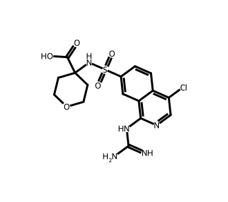 N=C(N)Nc1ncc(Cl)c2ccc(S(=O)(=O)NC3(C(=O)O)CCOCC3)cc12